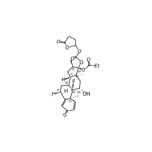 CCC(=O)O[C@]1(OC(=O)OC2CCC(=O)O2)[C@H](C)C[C@H]2[C@@H]3C[C@H](F)C4=CC(=O)C=C[C@]4(C)[C@@]3(F)[C@@H](O)C[C@@]21C